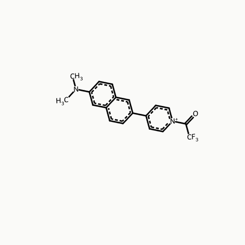 CN(C)c1ccc2cc(-c3cc[n+](C(=O)C(F)(F)F)cc3)ccc2c1